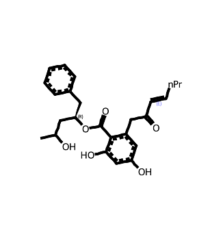 CCC/C=C/C(=O)Cc1cc(O)cc(O)c1C(=O)O[C@H](Cc1ccccc1)CC(C)O